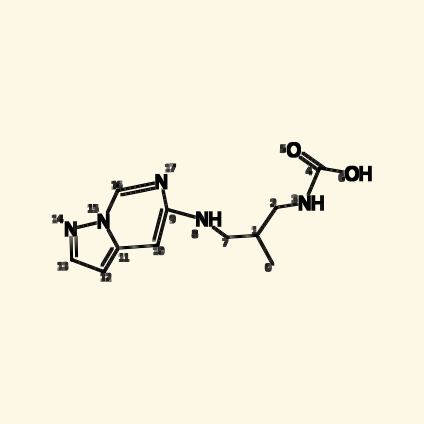 CC(CNC(=O)O)CNc1cc2ccnn2cn1